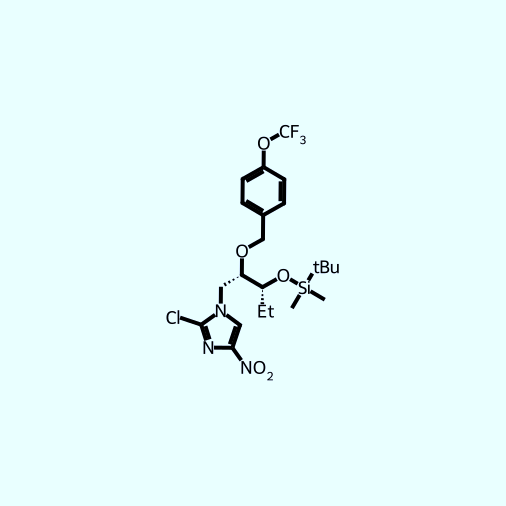 CC[C@@H](O[Si](C)(C)C(C)(C)C)[C@H](Cn1cc([N+](=O)[O-])nc1Cl)OCc1ccc(OC(F)(F)F)cc1